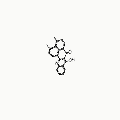 Cc1ccc2c3c(ccc(C)c13)-c1nc3ccccc3c(O)c1C2=O